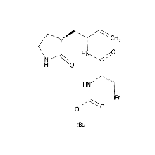 C=CC(C[C@@H]1CCNC1=O)NC(=O)[C@H](CC(C)C)NC(=O)OC(C)(C)C